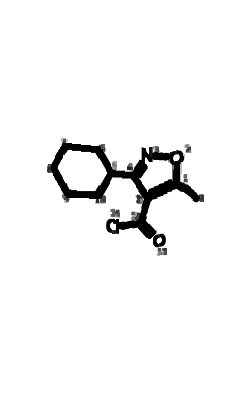 Cc1onc(C2CCCCC2)c1C(=O)Cl